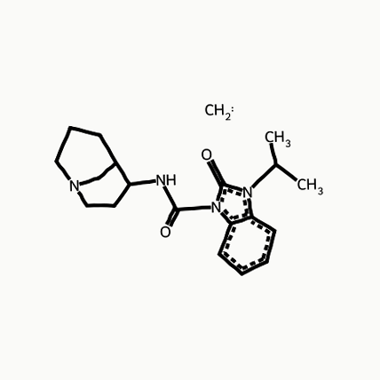 CC(C)n1c(=O)n(C(=O)NC2CCN3CCCC2C3)c2ccccc21.[CH2]